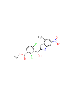 COC(=O)c1ccc(Cl)c(C(O)c2cc3c(C)cc([N+](=O)[O-])cc3[nH]2)c1Cl